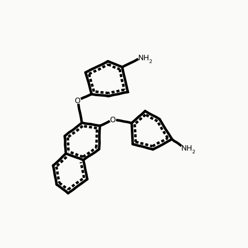 Nc1ccc(Oc2cc3ccccc3cc2Oc2ccc(N)cc2)cc1